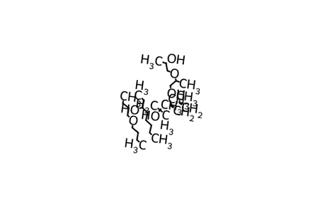 C=CC.C=CC.CC(C)(C)O.CC(O)COC(C)CO.CCCCCC(O)CC.CCCCOCCCC